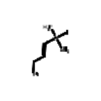 CCCCC=C[Si](C)(C)I